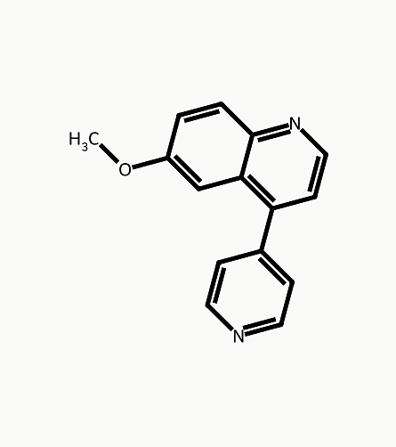 COc1ccc2nccc(-c3ccncc3)c2c1